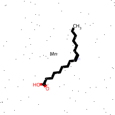 CCCCCC/C=C\CCCCCCCC(=O)O.[Mn]